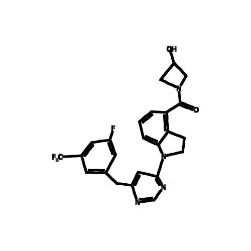 O=C(c1cccc2c1CCN2c1cc(Cc2cc(F)cc(C(F)(F)F)c2)ncn1)N1CC(O)C1